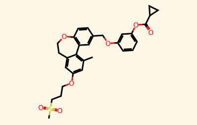 Cc1cc(OCCCS(C)(=O)=O)cc2c1-c1cc(COc3cccc(OC(=O)C4CC4)c3)ccc1OCC2